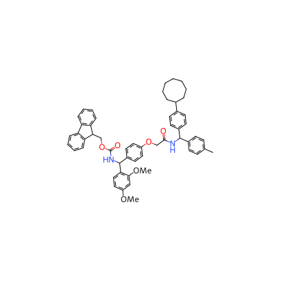 COc1ccc(C(NC(=O)OCC2c3ccccc3-c3ccccc32)c2ccc(OCC(=O)NC(c3ccc(C)cc3)c3ccc(C4CCCCCCC4)cc3)cc2)c(OC)c1